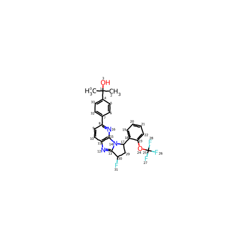 CC(C)(O)c1ccc(-c2ccc3nc4n(c3n2)C(c2ccccc2OC(F)(F)F)CC4F)cc1